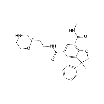 CNC(=O)c1cc(C(=O)NCC[C@H]2CNCCO2)cc2c1OCC2(C)c1ccccc1